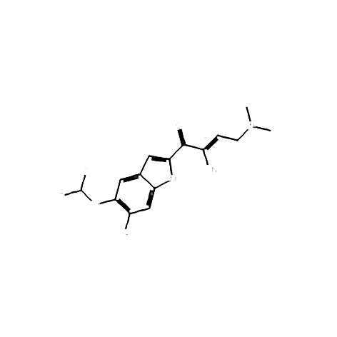 CN(C)C/C=C(\C#N)C(=O)c1cc2cc(OC(F)F)c(Br)cc2[nH]1